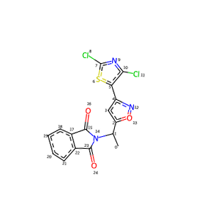 CC(c1cc(-c2sc(Cl)nc2Cl)no1)N1C(=O)c2ccccc2C1=O